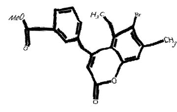 COC(=O)c1cccc(-c2cc(=O)oc3cc(C)c(Br)c(C)c23)c1